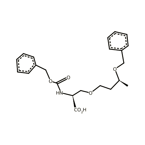 C[C@@H](CCOC[C@H](NC(=O)OCc1ccccc1)C(=O)O)OCc1ccccc1